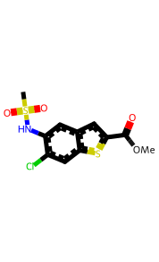 COC(=O)c1cc2cc(NS(C)(=O)=O)c(Cl)cc2s1